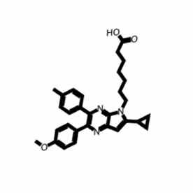 COc1ccc(-c2nc3cc(C4CC4)n(CCCCCCC(=O)O)c3nc2-c2ccc(C)cc2)cc1